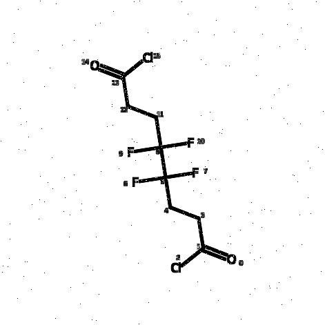 O=C(Cl)CCC(F)(F)C(F)(F)CCC(=O)Cl